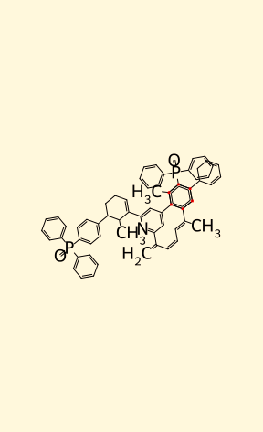 C=C(/C=C\C=C(/C)c1ccc(P(=O)(c2ccccc2)c2ccccc2)c(C)c1)c1cc(-c2ccc(C3C=CC=CC3)cc2)cc(C2=CCCC(c3ccc(P(=O)(c4ccccc4)c4ccccc4)cc3)C2C)n1